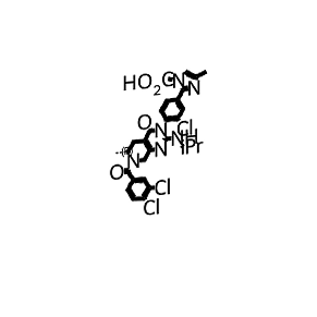 Cc1cn(C(=O)O)c(-c2ccc(-n3c(NC(C)C)nc4c(c3=O)C[C@@H](C)N(C(=O)c3ccc(Cl)c(Cl)c3)C4)c(Cl)c2)n1